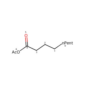 CCCCCCCCC(=O)OC(C)=O